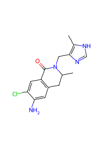 Cc1[nH]cnc1CN1C(=O)c2cc(Cl)c(N)cc2CC1C